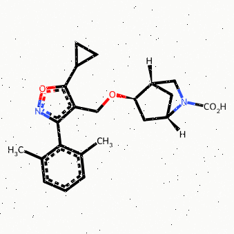 Cc1cccc(C)c1-c1noc(C2CC2)c1CO[C@@H]1C[C@@H]2C[C@H]1CN2C(=O)O